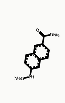 COPc1ccc2cc(C(=O)OC)ccc2c1